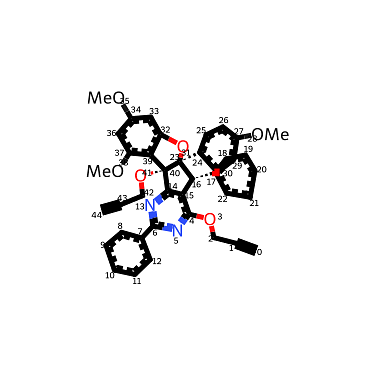 C#CCOc1nc(-c2ccccc2)nc2c1[C@@H](c1ccccc1)[C@]1(c3ccc(OC)cc3)Oc3cc(OC)cc(OC)c3[C@]21OCC#C